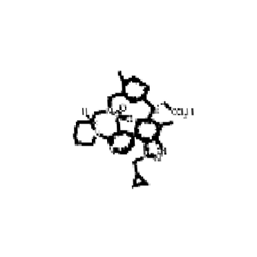 Cc1ccc([C@H](CC(=O)O)c2ccc3c(nnn3CC3CC3)c2C)cc1CN1C[C@H]2CCCCN2c2ncccc2S1(=O)=O